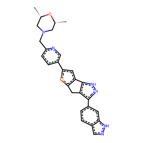 C[C@@H]1CN(Cc2ccc(-c3cc4c(s3)Cc3c(-c5ccc6cn[nH]c6c5)n[nH]c3-4)cn2)C[C@H](C)O1